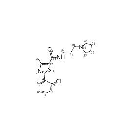 Cc1nc(-c2ccccc2Cl)sc1C(=O)NCCCN1CCCC1